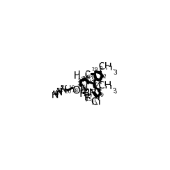 Cc1cc(C)c(C2=C3C=CC(Cl)=[N+]3[B-](F)(F)n3c(OCCN=[N+]=[N-])ccc32)c(C)c1